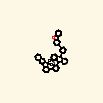 CC1(C)c2cc3ccccc3cc2-c2cccc(-c3cccc(-c4c5ccccc5c(-c5cccc(-c6ccc7oc8ccccc8c7c6)c5)c5ccccc45)c3)c21